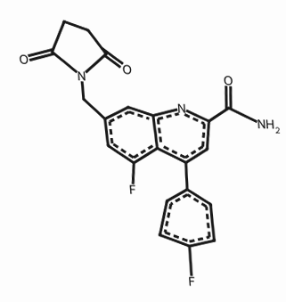 NC(=O)c1cc(-c2ccc(F)cc2)c2c(F)cc(CN3C(=O)CCC3=O)cc2n1